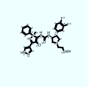 COCCN1C[C@@H](NC(=O)NC2=C(Cl)C(c3cn[nH]c3)=N[N+]2(C)c2ccccc2)[C@H](c2ccc(F)c(F)c2)C1